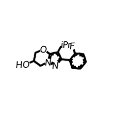 CC(C)c1c(-c2ccccc2F)nn2c1OCC(O)C2